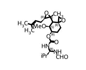 CO[C@H]1C([C@@]2(C)O[C@@H]2CC=C(C)C)[C@]2(CC[C@H]1OC(=O)N[C@@H](NC=O)C(C)C)CO2